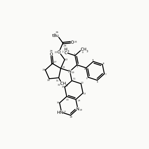 CC(C)=C(c1ccccc1)N(C1CCC2=C(CNC=N2)C1)C1(COC(=O)C(C)(C)C)C(=O)CCC1C